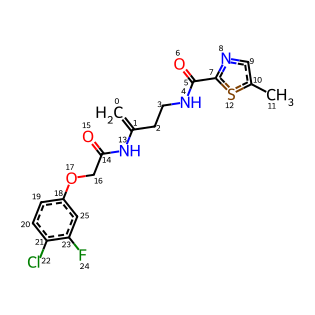 C=C(CCNC(=O)c1ncc(C)s1)NC(=O)COc1ccc(Cl)c(F)c1